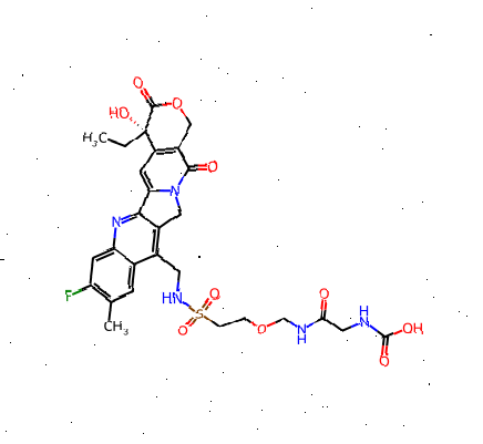 CC[C@@]1(O)C(=O)OCc2c1cc1n(c2=O)Cc2c-1nc1cc(F)c(C)cc1c2CNS(=O)(=O)CCOCNC(=O)CNC(=O)O